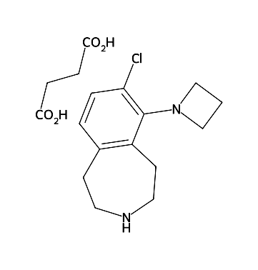 Clc1ccc2c(c1N1CCC1)CCNCC2.O=C(O)CCC(=O)O